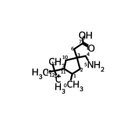 CC1CC(CN)(CC(=O)O)CC1C(C)(C)C